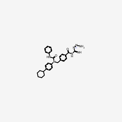 N=C(/N=N\N)NC(=O)c1ccc(CN(C(=O)Nc2ccccc2)c2ccc(C3CCCCC3)cc2)cc1